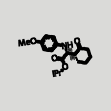 COc1ccc(N[C@H](C(=O)OC(C)C)[C@H]2CCCCC2=O)cc1